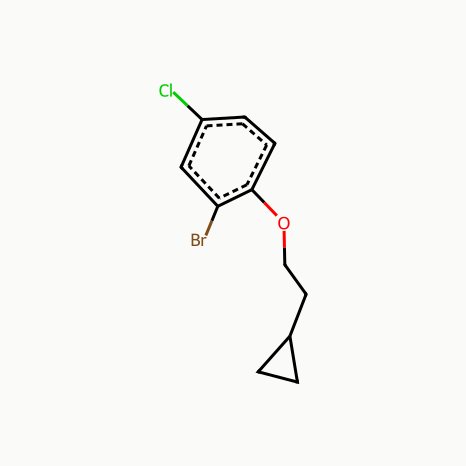 Clc1ccc(OCCC2CC2)c(Br)c1